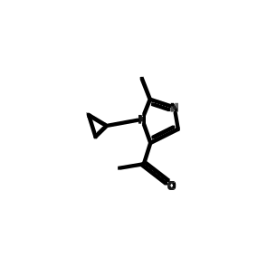 CC(=O)c1cnc(C)n1C1CC1